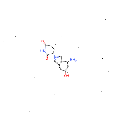 Nc1cc(O)cc2cn(C3CCC(=O)NC3=O)cc12